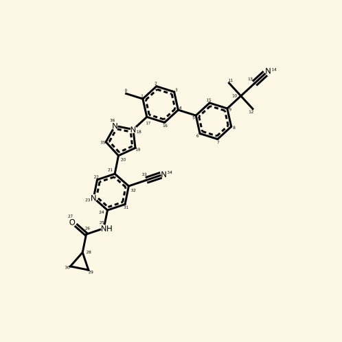 Cc1ccc(-c2cccc(C(C)(C)C#N)c2)cc1-n1cc(-c2cnc(NC(=O)C3CC3)cc2C#N)cn1